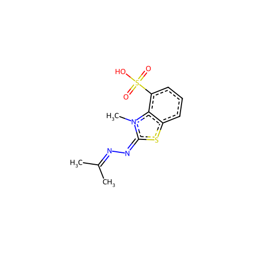 CC(C)=NN=c1sc2cccc(S(=O)(=O)O)c2n1C